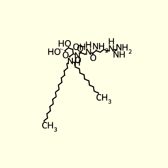 CCCCCCCCCCCCCCCCCCN(C(=O)CCCCCCCCCCC)[C@@H]1O[C@H](CO)[C@@H](O)[C@H](O)[C@H]1NC(=O)CNC(=O)[C@@H](N)CCCNC(=N)N